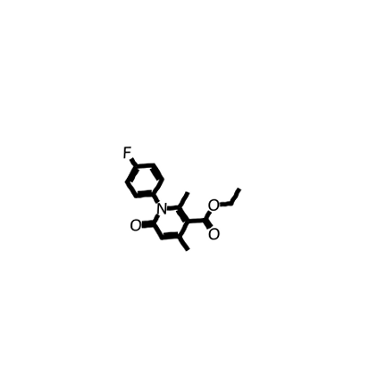 CCOC(=O)c1c(C)cc(=O)n(-c2ccc(F)cc2)c1C